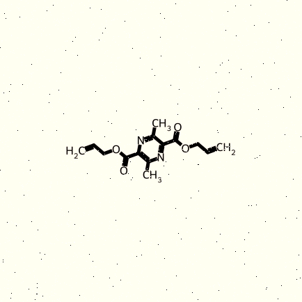 C=CCOC(=O)c1nc(C)c(C(=O)OCC=C)nc1C